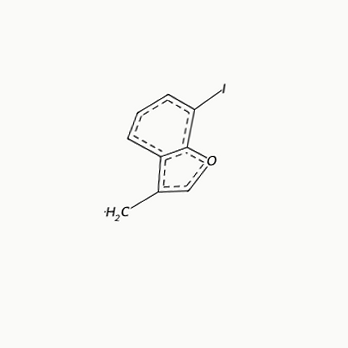 [CH2]c1coc2c(I)cccc12